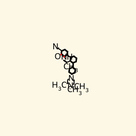 C/C(=C/NC=O)c1c(-c2ccc(C#N)cc2)cccc1-c1ccc(N2CC(C)N(C)C(C)C2)cc1